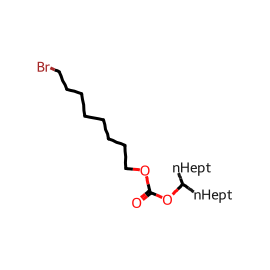 CCCCCCCC(CCCCCCC)OC(=O)OCCCCCCCCBr